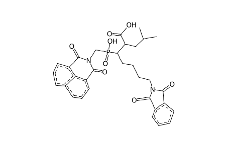 CC(C)CC(C(=O)O)C(CCCCN1C(=O)c2ccccc2C1=O)P(=O)(O)CN1C(=O)c2cccc3cccc(c23)C1=O